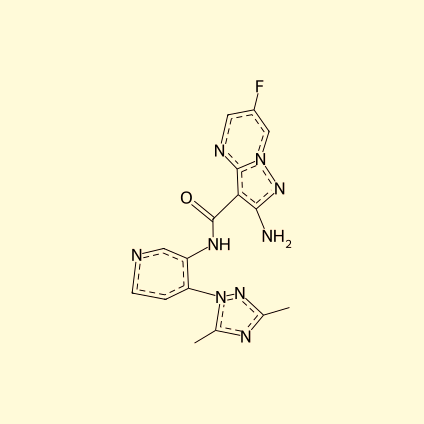 Cc1nc(C)n(-c2ccncc2NC(=O)c2c(N)nn3cc(F)cnc23)n1